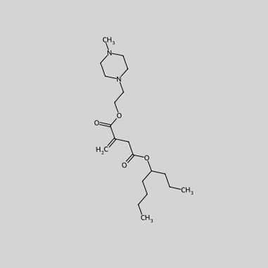 C=C(CC(=O)OC(CCC)CCCC)C(=O)OCCN1CCN(C)CC1